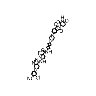 N#Cc1ccc(N2CCc3c(ncnc3Nc3ccc(C(=O)NC4CC5(C4)CC(N4CCN(c6ccc7c(c6)C(=O)N(C6CCC(=O)NC6=O)C7=O)CC4)C5)c(F)n3)C2)cc1Cl